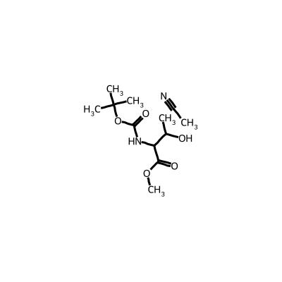 CC#N.COC(=O)C(NC(=O)OC(C)(C)C)C(C)O